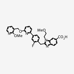 COCCn1c(Cc2ccc(-c3cccc(OCc4cccnc4OC)n3)cc2F)nc2ccc(C(=O)O)cc21